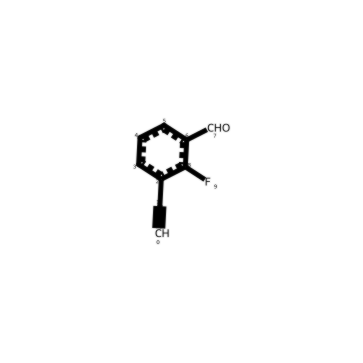 C#Cc1cccc(C=O)c1F